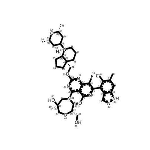 COc1nc(-c2c(Cl)c(C)cc3[nH]ncc23)c(F)c2nc(OC[C@]34CCC[C@H]3N(C3C[C@@H](C)O[C@@H](C)C3)CCC4)nc(N3C[C@H](CO)OC[C@@](C)(O)C3)c12